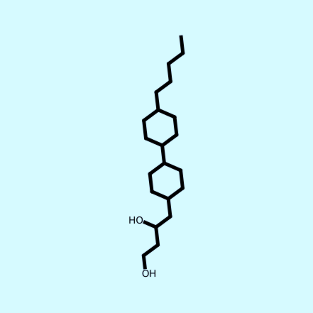 CCCCCC1CCC(C2CCC(CC(O)CCO)CC2)CC1